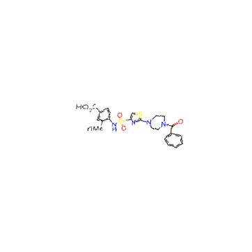 COc1cc(C(=O)O)ccc1NS(=O)(=O)c1csc(N2CCN(C(=O)c3ccccc3)CC2)n1